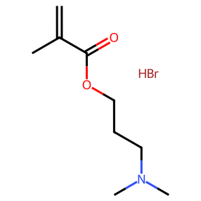 Br.C=C(C)C(=O)OCCCN(C)C